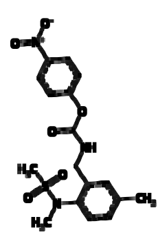 Cc1ccc(N(C)S(C)(=O)=O)c(CNC(=O)Oc2ccc([N+](=O)[O-])cc2)c1